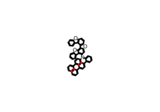 c1ccc(-c2ccc(-c3ccccc3N(c3ccc(-c4ccccc4)cc3)c3cc4oc5ccc6oc7ccccc7c6c5c4c4oc5ccccc5c34)cc2)cc1